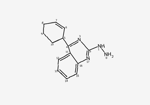 NNc1nc(C2C=CCCC2)c2ccccc2n1